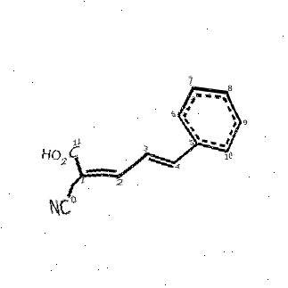 N#CC(=CC=Cc1ccccc1)C(=O)O